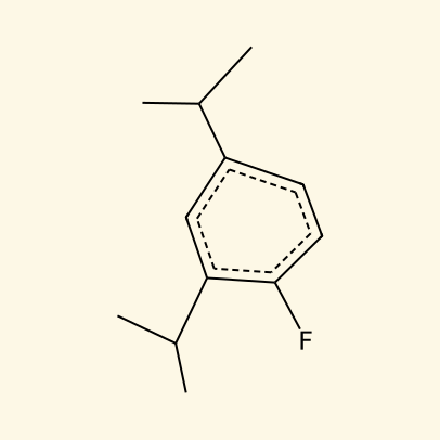 CC(C)c1ccc(F)c(C(C)C)c1